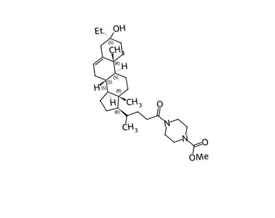 CC[C@]1(O)CC[C@@]2(C)C(=CC[C@H]3[C@@H]4CC[C@H](C(C)CCC(=O)N5CCN(C(=O)OC)CC5)[C@@]4(C)CC[C@@H]32)C1